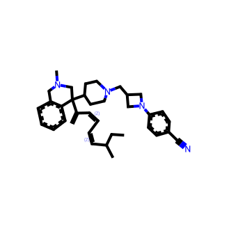 C=C(/C=C\C=C/C(C)CC)C1(C2CCN(CC3CN(c4ccc(C#N)cc4)C3)CC2)CN(C)Cc2ccccc21